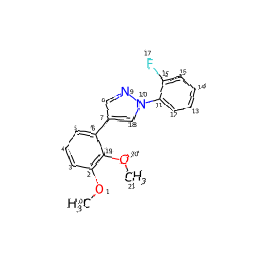 COc1cccc(-c2cnn(-c3ccccc3F)c2)c1OC